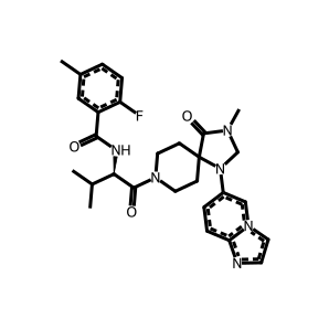 Cc1ccc(F)c(C(=O)N[C@@H](C(=O)N2CCC3(CC2)C(=O)N(C)CN3c2ccc3nccn3c2)C(C)C)c1